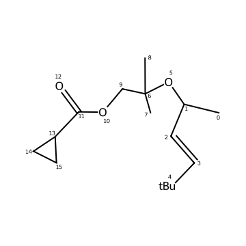 CC(/C=C/C(C)(C)C)OC(C)(C)COC(=O)C1CC1